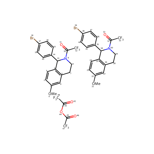 COc1ccc2c(c1)CCN(C(=O)C(F)(F)F)C2c1ccc(Br)cc1.COc1ccc2c(c1)CCN(C(=O)C(F)(F)F)C2c1ccc(Br)cc1.O=C(OC(=O)C(F)(F)F)C(F)(F)F